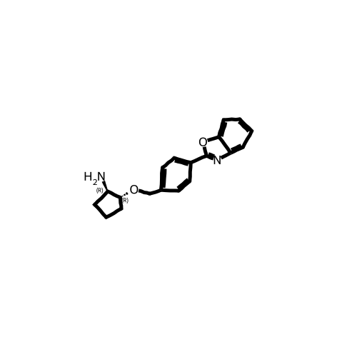 N[C@@H]1CCC[C@H]1OCc1ccc(-c2nc3ccccc3o2)cc1